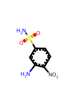 Nc1cc(S(N)(=O)=O)ccc1[N+](=O)[O-]